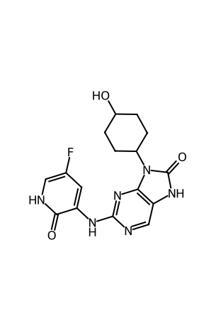 O=c1[nH]cc(F)cc1Nc1ncc2[nH]c(=O)n(C3CCC(O)CC3)c2n1